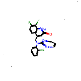 O=c1cc(CN(c2ncccn2)c2ccccc2F)c2ccc(F)c(F)c2[nH]1